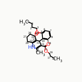 CCCCOc1ccccc1C1C(C(=O)OCCC)=C(C)NC2=C1C(=O)CCC2